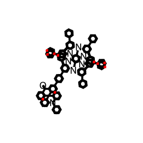 N#Cc1c(-n2c3ccc(-c4ccccc4)cc3c3cc(-c4ccccc4)ccc32)c(-n2c3ccc(-c4ccccc4)cc3c3cc(-c4ccccc4)ccc32)c(C#N)c(-n2c3ccc(-c4ccccc4)cc3c3cc(-c4ccc(-c5ccc6c(c5)C(=O)c5ccccc5C65c6ccccc6N(c6ccccc6)c6ccccc65)cc4)ccc32)c1-n1c2ccc(-c3ccccc3)cc2c2cc(-c3ccccc3)ccc21